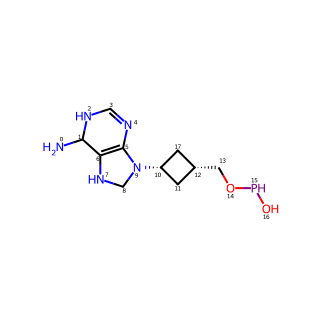 NC1NC=NC2=C1NCN2[C@H]1C[C@@H](COPO)C1